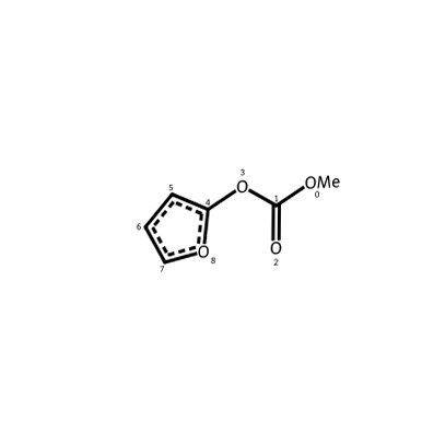 COC(=O)Oc1ccco1